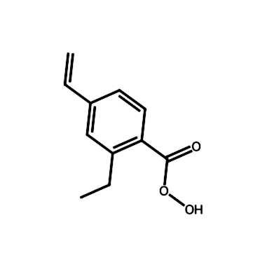 C=Cc1ccc(C(=O)OO)c(CC)c1